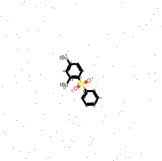 CC(C)(C)c1ccc(S(=O)(=O)c2ccccc2)c(C(C)(C)C)c1